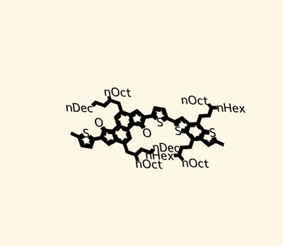 CCCCCCCCCCCCC(CCCCCCCC)Cc1cc2c(cc(CC(CCCCCCCC)CCCCCCCCCCCC)c3cc(-c4ccc(-c5cc6c(CCC(CCCCCC)CCCCCCCC)c7sc(C)cc7c(CCC(CCCCCC)CCCCCCCC)c6s5)s4)c(=O)c32)c2c(=O)c(-c3ccc(C)s3)cc12